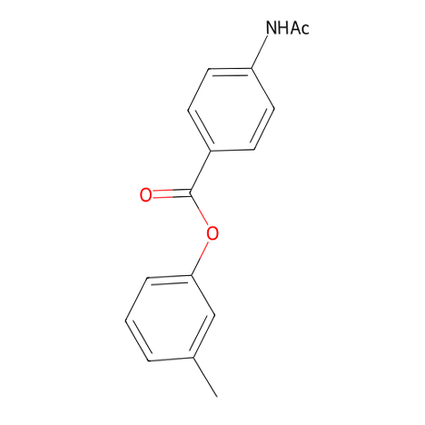 CC(=O)Nc1ccc(C(=O)Oc2cccc(C)c2)cc1